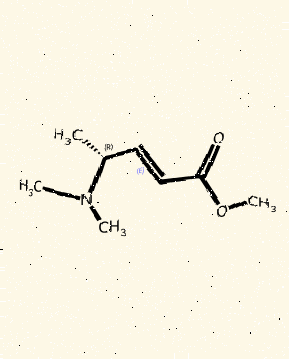 COC(=O)/C=C/[C@@H](C)N(C)C